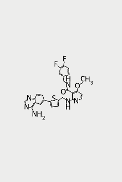 CCOc1ccnc(NCc2ccc(-c3ccc4ncnc(N)c4c3)s2)c1C(=O)NCc1ccc(F)c(F)c1